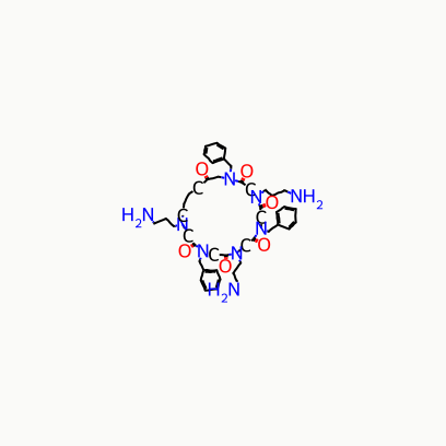 NCCCN1CCCCC(=O)CN(Cc2ccccc2)C(=O)CN(CCCN)C(=O)CN(Cc2ccccc2)C(=O)CN(CCCN)C(=O)CN(Cc2ccccc2)C(=O)C1